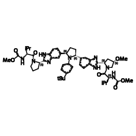 COC(=O)NC(C(=O)N1CCC[C@H]1c1nc2cc([C@H]3CC[C@H](c4ccc5[nH]c([C@@H]6C[C@H](OC)CN6C(=O)[C@@H](NC(=O)OC)C(C)C)nc5c4)N3c3ccc(C(C)(C)C)cc3)ccc2[nH]1)C(C)C